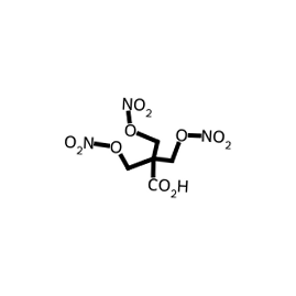 O=C(O)C(CO[N+](=O)[O-])(CO[N+](=O)[O-])CO[N+](=O)[O-]